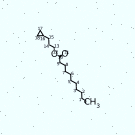 CCCCCCCCCCC(=O)OCCCC1CC1